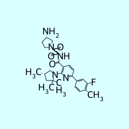 Cc1ccc(-c2ccc(C(=O)NS(=O)(=O)N3CC[C@H](N)C3)c(N3C[C@@H](C)CC3(C)C)n2)cc1F